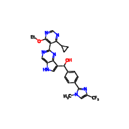 CCOc1ncnc(C2CC2)c1-c1ncc2[nH]cc(C(O)c3ccc(-c4nc(C(F)(F)F)cn4C)cc3)c2n1